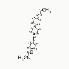 CCCC[C@H]1CC[C@H]([C@H]2CC[C@H](C#Cc3ccc(OCCC)cc3)CC2)CC1